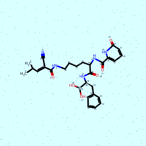 CC(C)C=C(C#N)C(=O)NCCCCC(NC(=O)c1cccc(=O)[nH]1)C(=O)N[C@@H](Cc1ccccc1)B(O)O